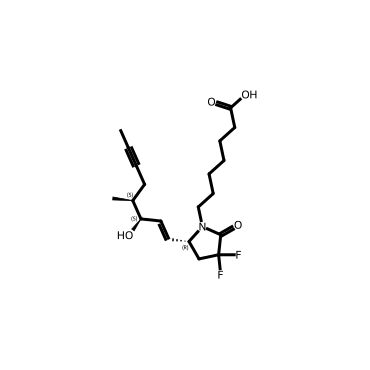 CC#CC[C@H](C)[C@H](O)C=C[C@H]1CC(F)(F)C(=O)N1CCCCCCC(=O)O